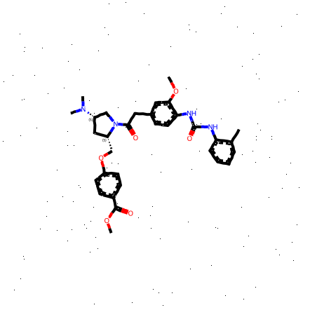 COC(=O)c1ccc(OC[C@@H]2C[C@H](N(C)C)CN2C(=O)Cc2ccc(NC(=O)Nc3ccccc3C)c(OC)c2)cc1